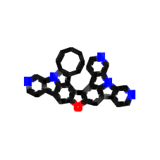 C1=C\c2c(n3c4cnccc4c4cc5oc6cc7c8ccncc8n8c9cnccc9c(c6c5c2c43)c78)/C=C\CC/1